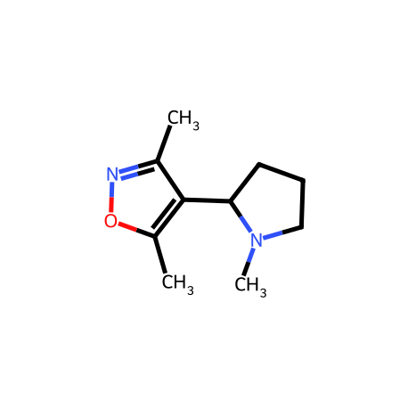 Cc1noc(C)c1C1CCCN1C